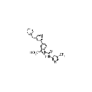 O=C(O)c1nn(C(=O)Nc2cncc(C(F)(F)F)c2)c2ccc(-c3cncc(CN4CCCCC4)c3)cc12